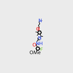 COc1ccc(C(=O)NCC2CN(C(C)c3ccc(OCCCCN(C)C)c(C)c3C)C2)cc1F